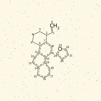 C=CC1CCCc2c1ccc1c2ccc2ccccc21.c1ccoc1